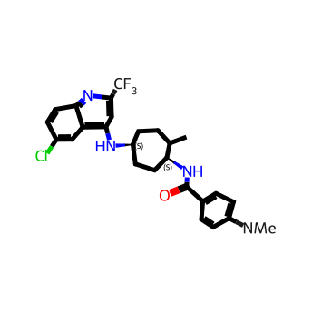 CNc1ccc(C(=O)N[C@H]2CC[C@@H](Nc3cc(C(F)(F)F)nc4ccc(Cl)cc34)CCC2C)cc1